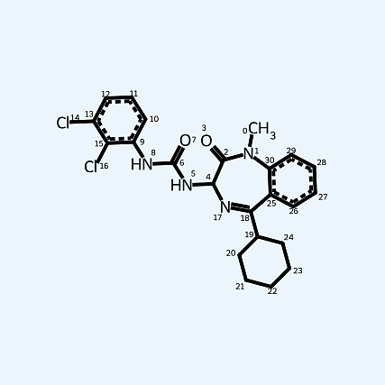 CN1C(=O)C(NC(=O)Nc2cccc(Cl)c2Cl)N=C(C2CCCCC2)c2ccccc21